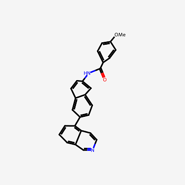 COc1ccc(C(=O)Nc2ccc3cc(-c4cccc5cnccc45)ccc3c2)cc1